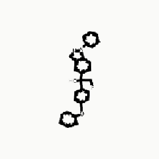 OC(CF)(c1ccc(Oc2ccccc2)cc1)c1ccc2c(cnn2-c2ccccc2)c1